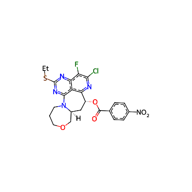 CCSc1nc2c3c(nc(Cl)c(F)c3n1)[C@H](OC(=O)c1ccc([N+](=O)[O-])cc1)C[C@H]1COCCCN21